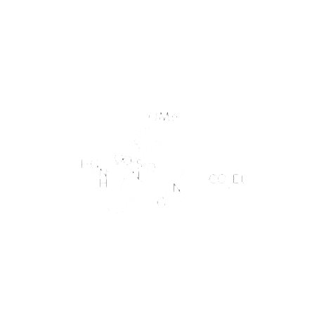 CCOC(=O)C1CCN(C(=O)CCN(C(C(=O)NO)C2CCCCC2)S(=O)(=O)c2ccc(OC)cc2)CC1